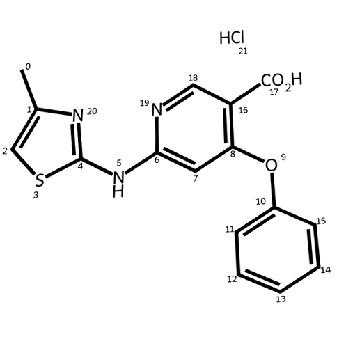 Cc1csc(Nc2cc(Oc3ccccc3)c(C(=O)O)cn2)n1.Cl